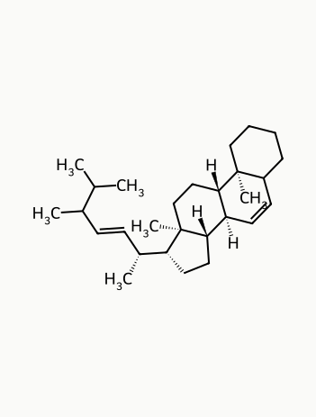 CC(C)C(C)C=C[C@@H](C)[C@H]1CC[C@H]2[C@@H]3C=CC4CCCC[C@]4(C)[C@H]3CC[C@]12C